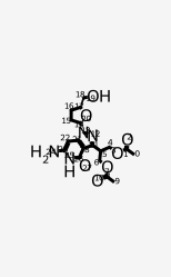 CC(=O)OCC(COC(C)=O)c1nn([C@H]2CC[C@@H](CO)O2)c2cc(N)[nH]c(=O)c12